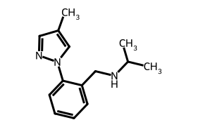 Cc1cnn(-c2ccccc2CNC(C)C)c1